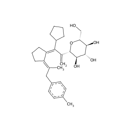 C=C(/C(=C1/CCC/C1=C(/C)Cc1ccc(C)cc1)C1CCCC1)[C@@H]1O[C@H](CO)[C@@H](O)[C@H](O)[C@H]1O